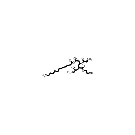 C=CC(=O)OC(CC(C)OC(=O)CCCCCCCCCCCC)CC(CC(O)CC)C(=O)OCCO